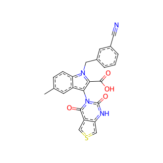 Cc1ccc2c(c1)c(-n1c(=O)[nH]c3cscc3c1=O)c(C(=O)O)n2Cc1cccc(C#N)c1